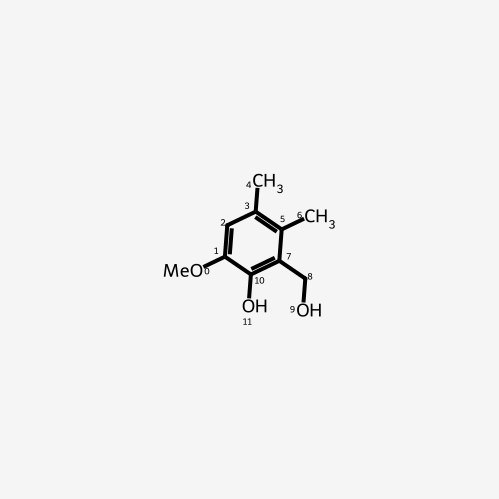 COc1cc(C)c(C)c(CO)c1O